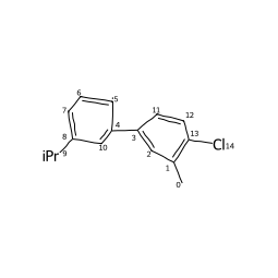 Cc1cc(-c2[c]ccc(C(C)C)c2)ccc1Cl